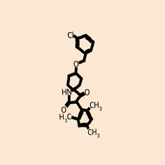 Cc1cc(C)c(C2C(=O)NC3(CCC(OCc4cccc(Cl)c4)CC3)C2=O)c(C)c1